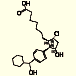 O=C(O)CCCCCC[C@@H]1[C@H](c2ccc(C(O)C3CCCCC3)cc2)[C@H](O)C[C@H]1Cl